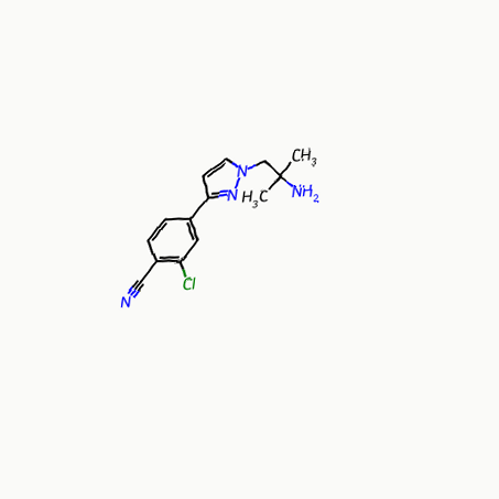 CC(C)(N)Cn1ccc(-c2ccc(C#N)c(Cl)c2)n1